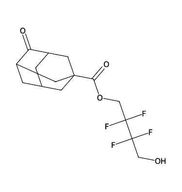 O=C1C2CC3CC1CC(C(=O)OCC(F)(F)C(F)(F)CO)(C3)C2